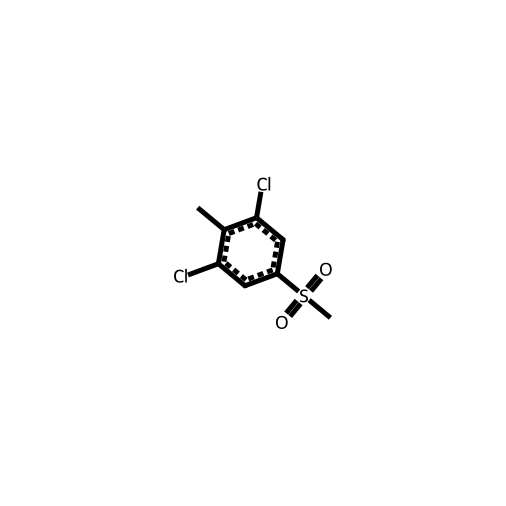 Cc1c(Cl)cc(S(C)(=O)=O)cc1Cl